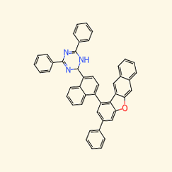 c1ccc(C2=NC(c3ccc(-c4cc(-c5ccccc5)cc5oc6cc7ccccc7cc6c45)c4ccccc34)NC(c3ccccc3)=N2)cc1